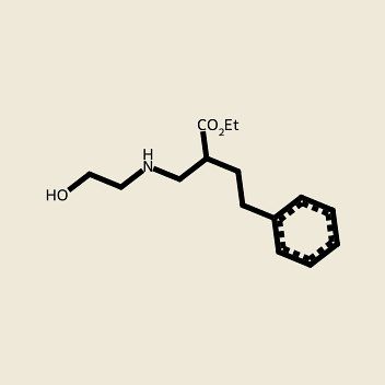 CCOC(=O)C(CCc1ccccc1)CNCCO